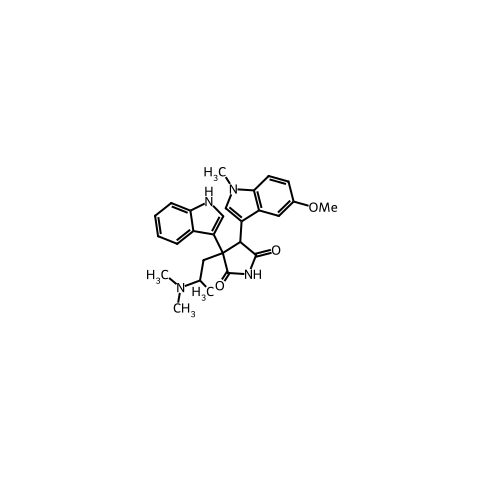 COc1ccc2c(c1)c(C1C(=O)NC(=O)C1(CC(C)N(C)C)c1c[nH]c3ccccc13)cn2C